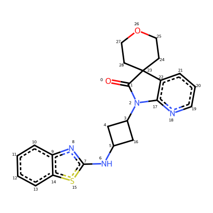 O=C1N(C2CC(Nc3nc4ccccc4s3)C2)c2ncccc2C12CCOCC2